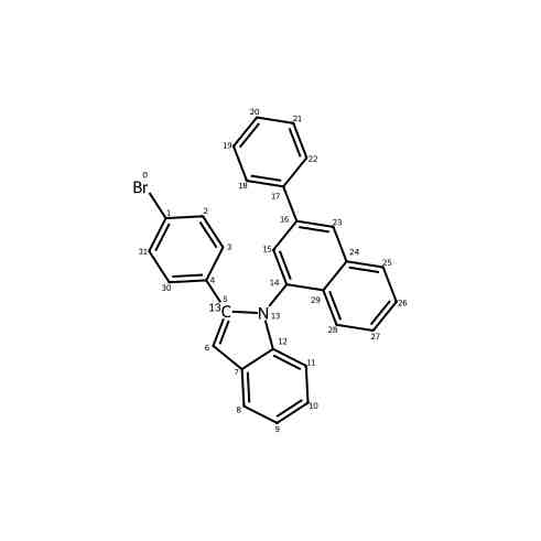 Brc1ccc(-[13c]2cc3ccccc3n2-c2cc(-c3ccccc3)cc3ccccc23)cc1